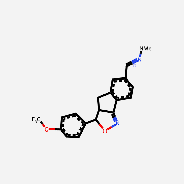 CN/N=C/c1ccc2c(c1)CC1C2=NOC1c1ccc(OC(F)(F)F)cc1